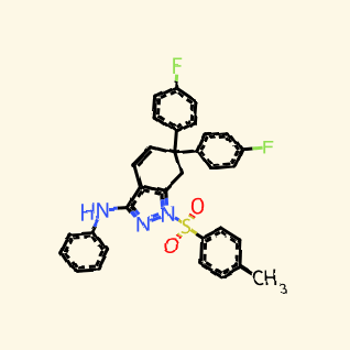 Cc1ccc(S(=O)(=O)n2nc(Nc3ccccc3)c3c2CC(c2ccc(F)cc2)(c2ccc(F)cc2)C=C3)cc1